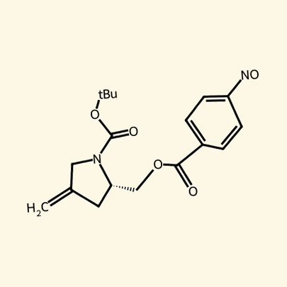 C=C1C[C@@H](COC(=O)c2ccc(N=O)cc2)N(C(=O)OC(C)(C)C)C1